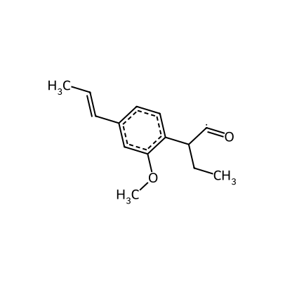 CC=Cc1ccc(C([C]=O)CC)c(OC)c1